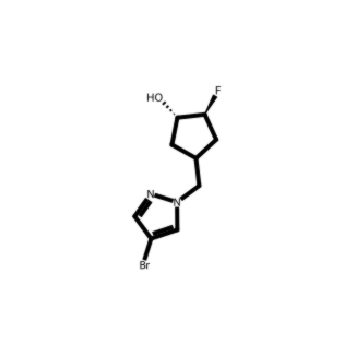 O[C@H]1CC(Cn2cc(Br)cn2)C[C@@H]1F